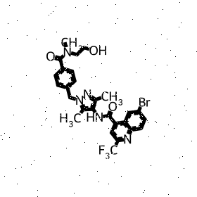 Cc1nn(Cc2ccc(C(=O)N(C)CCO)cc2)c(C)c1NC(=O)c1cc(C(F)(F)F)nc2ccc(Br)cc12